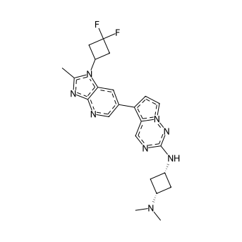 Cc1nc2ncc(-c3ccn4nc(N[C@H]5C[C@@H](N(C)C)C5)ncc34)cc2n1C1CC(F)(F)C1